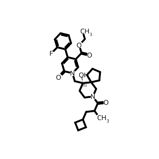 CCOC(=O)c1cn(C[C@]2(O)CCN(C(=O)C(C)CC3CCC3)CC23CCCC3)c(=O)cc1-c1ccccc1F